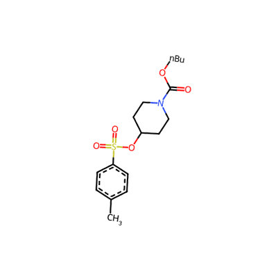 CCCCOC(=O)N1CCC(OS(=O)(=O)c2ccc(C)cc2)CC1